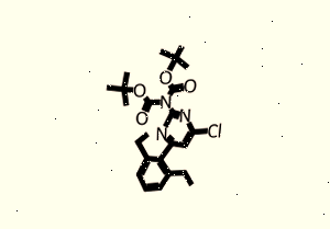 CCc1cccc(CC)c1-c1cc(Cl)nc(N(C(=O)OC(C)(C)C)C(=O)OC(C)(C)C)n1